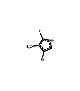 Cc1c(Br)c[nH]c1F